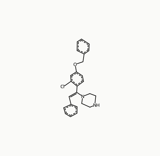 Clc1cc(OCc2ccccc2)ccc1C(=Cc1ccccc1)N1CCNCC1